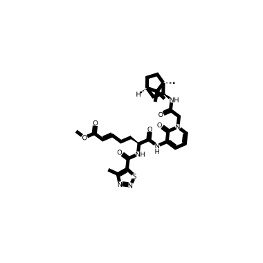 COC(=O)/C=C/CC[C@H](NC(=O)c1snnc1C)C(=O)Nc1cccn(CC(=O)N[C@H]2C[C@H]3CC[C@]2(C)C3(C)C)c1=O